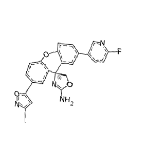 Cc1cc(-c2ccc3c(c2)[C@]2(COC(N)=N2)c2cc(-c4ccc(F)nc4)ccc2O3)on1